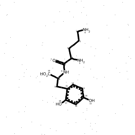 NCCCC(N)C(=O)NC(Cc1ccc(O)cc1O)C(=O)O